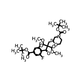 COC(=O)C(C[C@H]1CN(C(=O)OC(C)(C)C)CCO1)(C(=O)OC)C(=O)c1c(F)cc(C(=O)OC(C)(C)C)cc1F